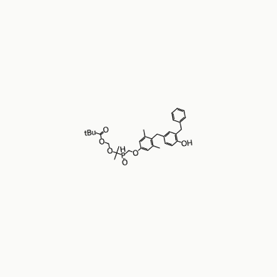 Cc1cc(OC[PH](=O)C(C)(C)OCOC(=O)C(C)(C)C)cc(C)c1Cc1ccc(O)c(Cc2ccccc2)c1